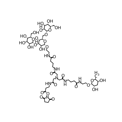 C[C@@H]1O[C@@H](OCCNC(=O)CCCNC(=O)CN(CC(=O)NCCCC(=O)NCCO[C@H]2O[C@H](CO[C@H]3O[C@H](CO)[C@@H](O)[C@H](O)[C@@H]3O)[C@@H](O)[C@H](O[C@H]3O[C@H](CO)[C@@H](O)[C@H](O)[C@@H]3O)[C@@H]2O)CC(=O)NCCC(=O)ON2C(=O)CCC2=O)[C@@H](O)C[C@@H]1O